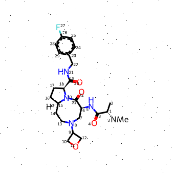 CN[C@@H](C)C(=O)N[C@H]1CN(C2COC2)CC[C@H]2CC[C@@H](C(=O)NCc3ccc(F)cc3)N2C1=O